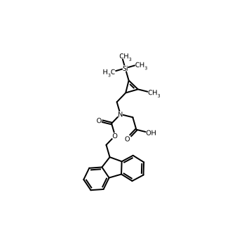 CC1=C([Si](C)(C)C)C1CN(CC(=O)O)C(=O)OCC1c2ccccc2-c2ccccc21